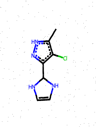 Cc1[nH]nc(C2NC=CN2)c1Cl